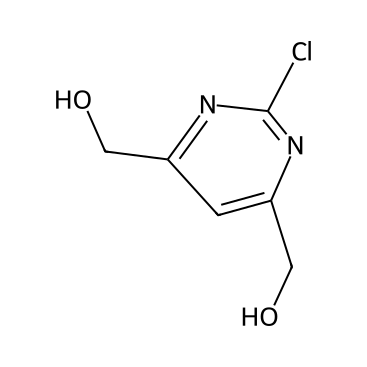 OCc1cc(CO)nc(Cl)n1